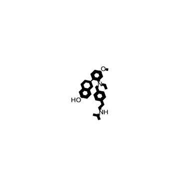 CCN(Cc1ccc(CCNC(C)C)cc1)c1cc(OC)ccc1[C@@H]1CCc2cc(O)ccc2C1